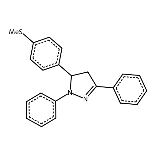 CSc1ccc(C2CC(c3ccccc3)=NN2c2ccccc2)cc1